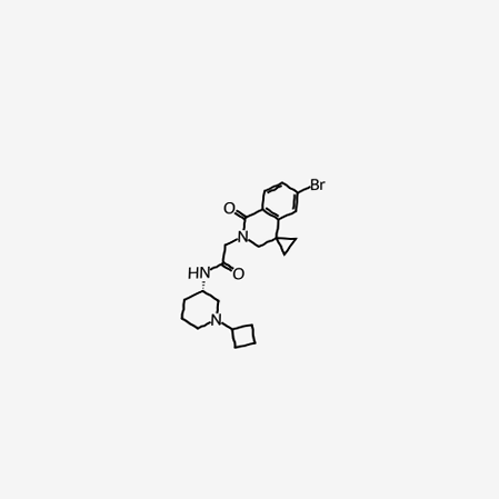 O=C(CN1CC2(CC2)c2cc(Br)ccc2C1=O)N[C@H]1CCCN(C2CCC2)C1